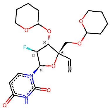 C=C[C@]1(COC2CCCCO2)O[C@@H](n2ccc(=O)[nH]c2=O)[C@@H](F)[C@@H]1OC1CCCCO1